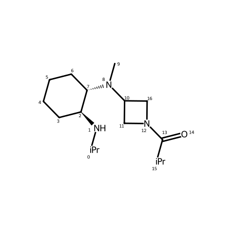 CC(C)N[C@H]1CCCC[C@@H]1N(C)C1CN(C(=O)C(C)C)C1